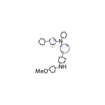 C=C(/C=C\C(=C/C)N(C1=C/C=C(/c2ccc(Nc3ccc(OC)cc3)cc2)CC/C=C\1)c1ccccc1)c1ccccc1